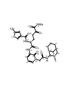 CNC(=O)C(=O)CC[C@H](NC(=O)c1csc(Cl)c1)C(=O)Nc1cccn(CC(=O)NC2N(C)CC3CCCN2C3)c1=O